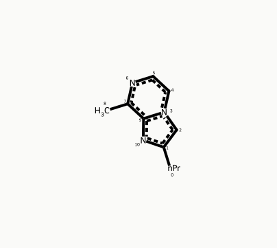 CCCc1cn2ccnc(C)c2n1